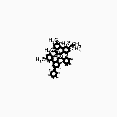 Cc1cc(C)cc(-c2cc(-c3ccccc3)ccc2-c2nnc(-c3ccc(C(C)(C)C)cc3-c3cc(C)cc(C)c3)n2-c2ccccc2)c1